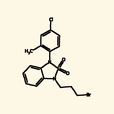 Cc1cc(Cl)ccc1N1c2ccccc2N(CCCBr)S1(=O)=O